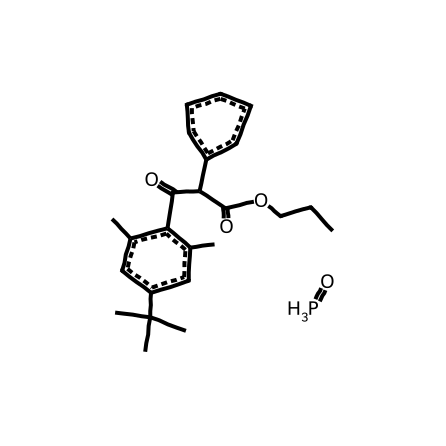 CCCOC(=O)C(C(=O)c1c(C)cc(C(C)(C)C)cc1C)c1ccccc1.O=[PH3]